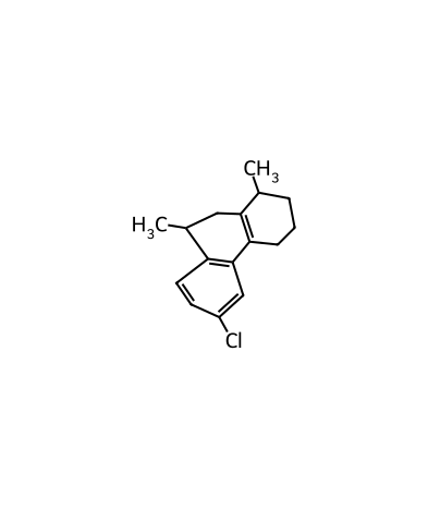 CC1CCCC2=C1CC(C)c1ccc(Cl)cc12